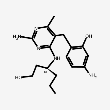 CCC[C@@H](CCO)Nc1nc(N)nc(C)c1Cc1ccc(N)cc1O